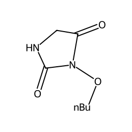 CCCCON1C(=O)CNC1=O